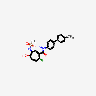 CS(=O)(=O)NC1=C(O)C=CC(F)C(C(=O)Nc2ccc(-c3ccc(C(F)(F)F)cc3)cc2)=C1